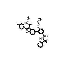 CNC(=O)c1c(-c2ccc(F)cc2)oc2ccc(-c3cc(C(=O)NC4(c5ccccn5)CC4)ccc3OCCO)cc12